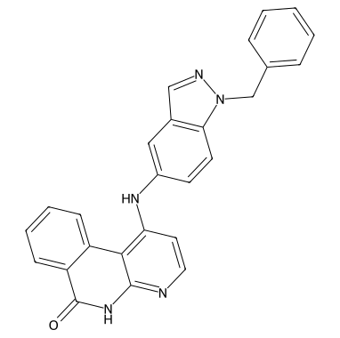 O=c1[nH]c2nccc(Nc3ccc4c(cnn4Cc4ccccc4)c3)c2c2ccccc12